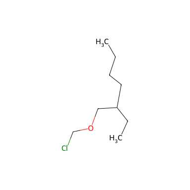 CCCCC(CC)COCCl